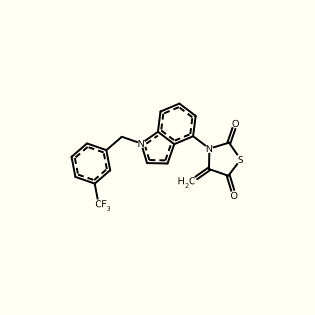 C=C1C(=O)SC(=O)N1c1cccc2c1ccn2Cc1cccc(C(F)(F)F)c1